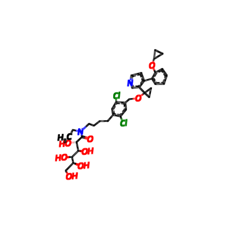 CCN(CCCCc1cc(Cl)c(COC2(c3cnccc3-c3ccccc3OC3CC3)CC2)cc1Cl)C(=O)[C@@H](O)[C@@H](O)[C@H](O)[C@@H](O)CO